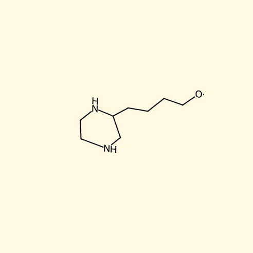 [O]CCCCC1CNCCN1